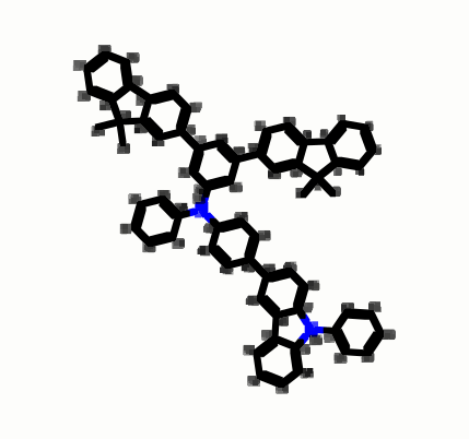 CC1(C)c2ccccc2-c2ccc(-c3cc(-c4ccc5c(c4)C(C)(C)c4ccccc4-5)cc(N(c4ccccc4)c4ccc(-c5ccc6c(c5)c5ccccc5n6-c5ccccc5)cc4)c3)cc21